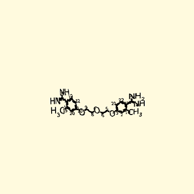 Cc1cc(OCCOCCOc2ccc(C(=N)N)c(C)c2)ccc1C(=N)N